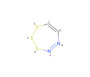 c1csssnn1